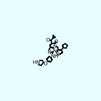 O=C(c1cc2cnc(Nc3ccc(OC4CCNCC4)cc3)nc2n(Cc2cnccc2C2=CCCC2)c1=O)C1CC1